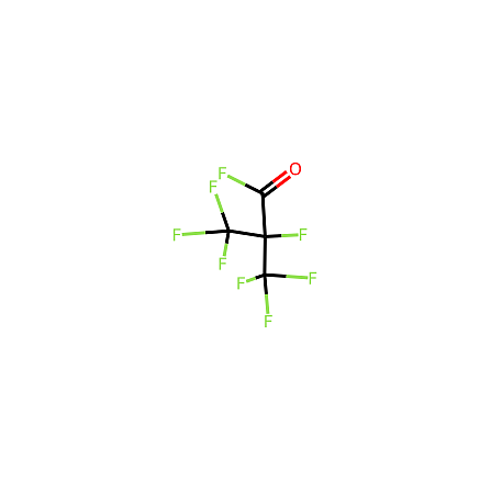 O=C(F)C(F)(C(F)(F)F)C(F)(F)F